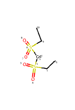 CC[S](=O)(=O)[Ge][S](=O)(=O)CC